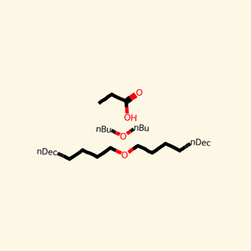 CCC(=O)O.CCCCCCCCCCCCCCOCCCCCCCCCCCCCC.CCCCOCCCC